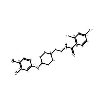 O=C(NCCN1CCC(Oc2ccc(Cl)c(Cl)c2)CC1)c1ccc(F)cc1F